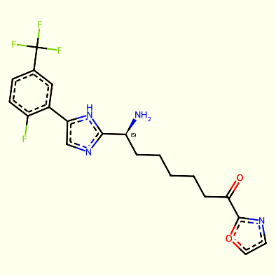 N[C@@H](CCCCCC(=O)c1ncco1)c1ncc(-c2cc(C(F)(F)F)ccc2F)[nH]1